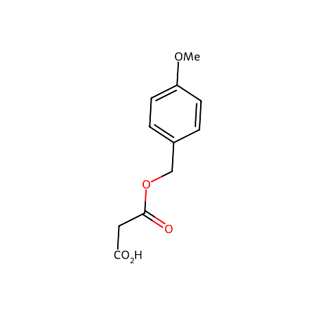 COc1ccc(COC(=O)CC(=O)O)cc1